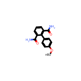 CCCCOc1ccc(-c2c(C(N)=O)cccc2C(N)=O)cc1